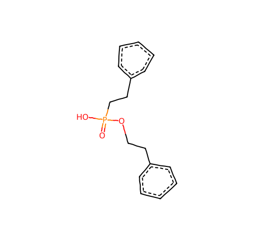 O=P(O)(CCc1ccccc1)OCCc1ccccc1